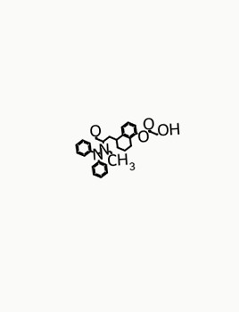 CCN(C(C=O)CC1CCCc2c(OC(=O)CO)cccc21)N(c1ccccc1)c1ccccc1